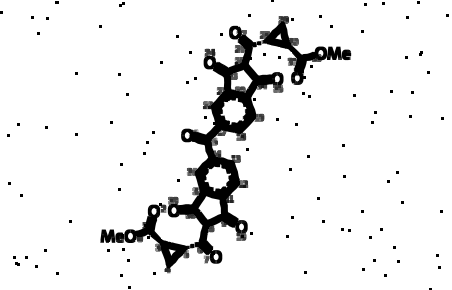 COC(=O)[C@@H]1C[C@H]1C(=O)C1C(=O)c2ccc(C(=O)c3ccc4c(c3)C(=O)C(C(=O)[C@@H]3C[C@H]3C(=O)OC)C4=O)cc2C1=O